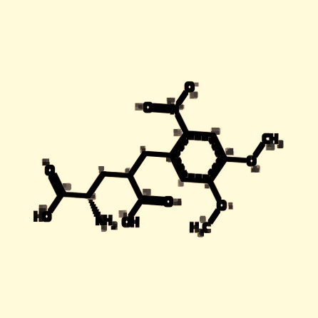 COc1cc(CC(C[C@H](N)C(=O)O)C(=O)O)c([N+](=O)[O-])cc1OC